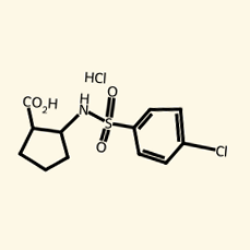 Cl.O=C(O)C1CCCC1NS(=O)(=O)c1ccc(Cl)cc1